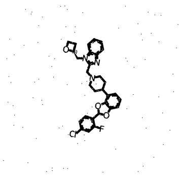 Fc1cc(Cl)ccc1C1Oc2cccc(C3CCN(Cc4nc5ccccc5n4C[C@@H]4CCO4)CC3)c2O1